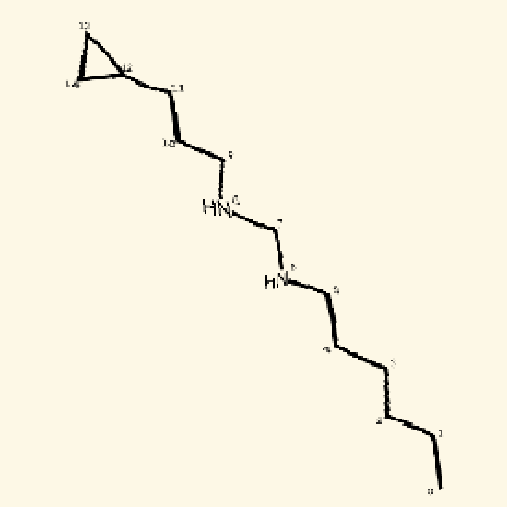 CCCCCCNCNCCCC1CC1